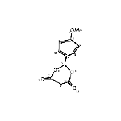 COc1ccc(C2OC(=O)CC(=O)O2)cc1